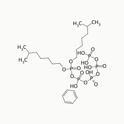 CC(C)CCCCCOP(=O)(OCCCCCC(C)C)OP(=O)(O)OP(=O)(O)OP(=O)(O)OP(=O)(O)O.c1ccccc1